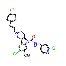 N#Cc1cc2c(cc1Cl)c1c(n2C(=O)NCc2ccnc(Cl)c2)CCN(CC=Cc2ccc(Cl)cc2)C1